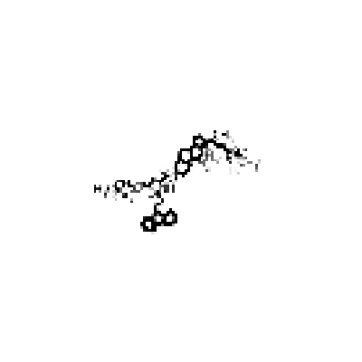 C[C@H](CCC(=O)OC(C)(C)C)C1CCC2C3CCC4C[C@H](OC(=O)[C@H](CCCOCOC(C)(C)C)NC(=O)OCC5c6ccccc6-c6ccccc65)CCC4(C)C3C=CC21C